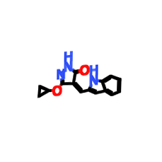 O=C1NN=C(OC2CC2)C1=Cc1cc2ccccc2[nH]1